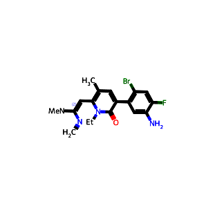 C=N/C(=C\c1c(C)cc(-c2cc(N)c(F)cc2Br)c(=O)n1CC)NC